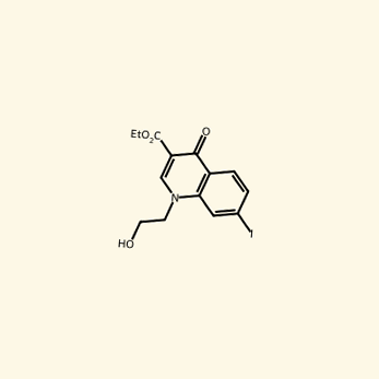 CCOC(=O)c1cn(CCO)c2cc(I)ccc2c1=O